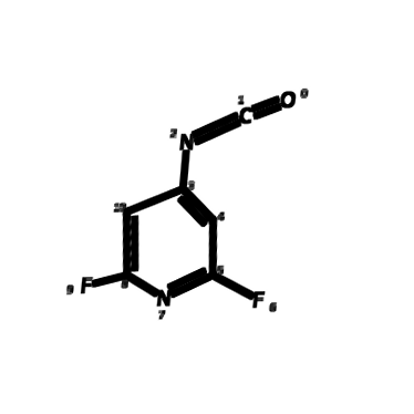 O=C=Nc1cc(F)nc(F)c1